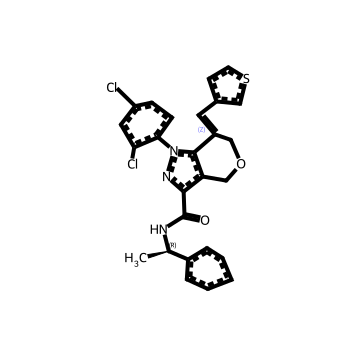 C[C@@H](NC(=O)c1nn(-c2ccc(Cl)cc2Cl)c2c1COC/C2=C\c1ccsc1)c1ccccc1